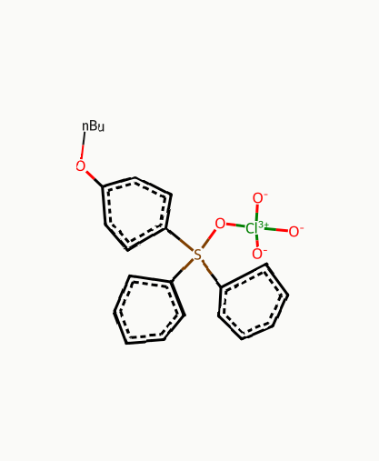 CCCCOc1ccc(S(O[Cl+3]([O-])([O-])[O-])(c2ccccc2)c2ccccc2)cc1